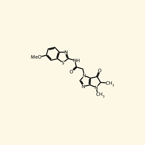 COc1ccc2nc(NC(=O)Cn3cnc4c3C(=O)C(C)N4C)sc2c1